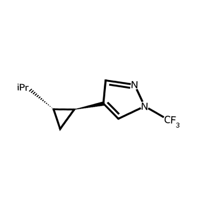 CC(C)[C@H]1C[C@@H]1c1cnn(C(F)(F)F)c1